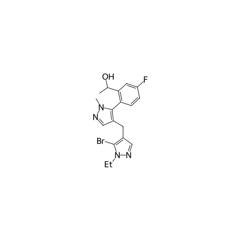 CCn1ncc(Cc2cnn(C)c2-c2ccc(F)cc2C(C)O)c1Br